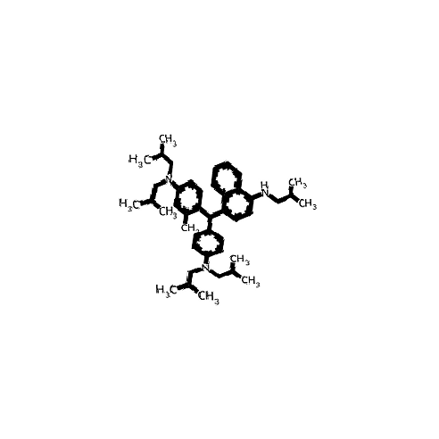 Cc1cc(N(CC(C)C)CC(C)C)ccc1C(c1ccc(N(CC(C)C)CC(C)C)cc1)c1ccc(NCC(C)C)c2ccccc12